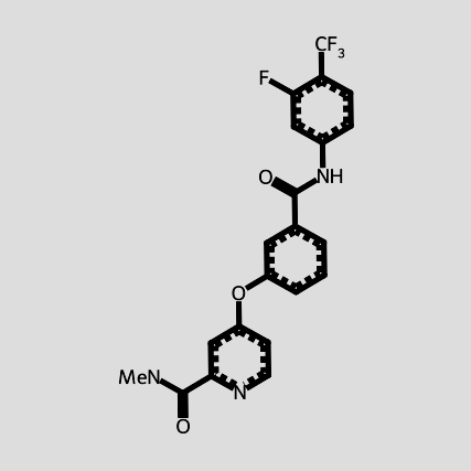 CNC(=O)c1cc(Oc2cccc(C(=O)Nc3ccc(C(F)(F)F)c(F)c3)c2)ccn1